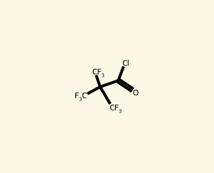 O=C(Cl)C(C(F)(F)F)(C(F)(F)F)C(F)(F)F